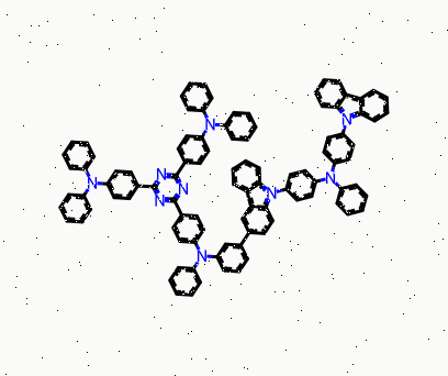 c1ccc(N(c2ccccc2)c2ccc(-c3nc(-c4ccc(N(c5ccccc5)c5ccccc5)cc4)nc(-c4ccc(N(c5ccccc5)c5cccc(-c6ccc7c(c6)c6ccccc6n7-c6ccc(N(c7ccccc7)c7ccc(-n8c9ccccc9c9ccccc98)cc7)cc6)c5)cc4)n3)cc2)cc1